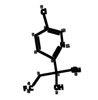 CC(C)(C)C(O)(CC(F)(F)F)c1ccc(Cl)cn1